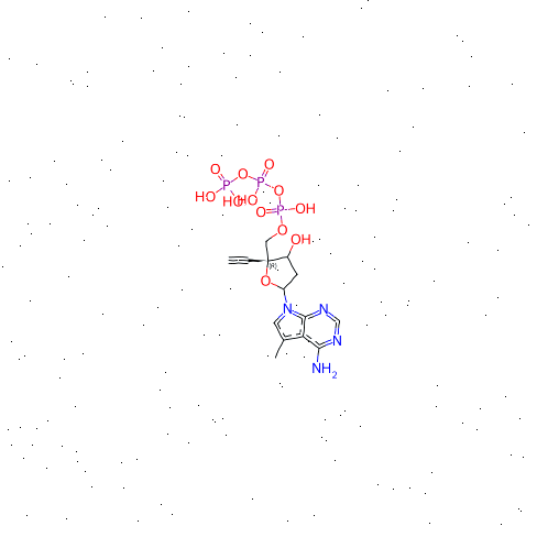 C#C[C@]1(COP(=O)(O)OP(=O)(O)OP(=O)(O)O)OC(n2cc(C)c3c(N)ncnc32)CC1O